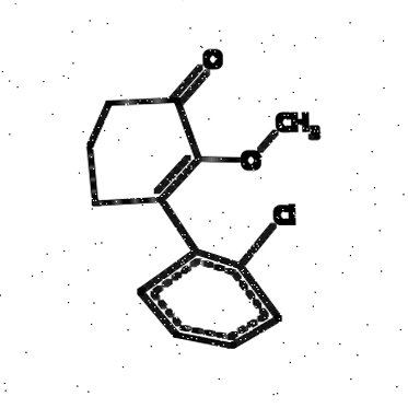 COC1=C(c2ccccc2Cl)CCCC1=O